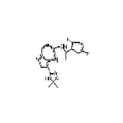 CC(Nc1ccn2ncc(C3=NOC(C)(C)N3)c2n1)c1cc(F)ccc1F